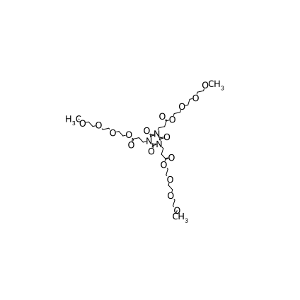 COCCOCCOCCOC(=O)CCn1c(=O)n(CCC(=O)OCCOCCOCCOC)c(=O)n(CCC(=O)OCCOCCOCCOC)c1=O